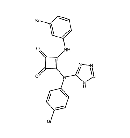 O=c1c(Nc2cccc(Br)c2)c(N(c2ccc(Br)cc2)c2nnn[nH]2)c1=O